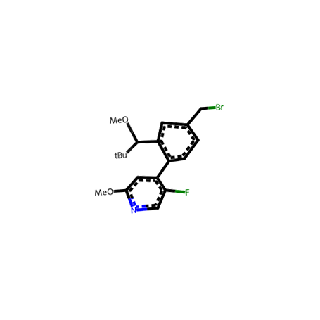 COc1cc(-c2ccc(CBr)cc2C(OC)C(C)(C)C)c(F)cn1